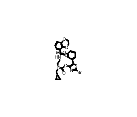 COc1cccc(-c2sc(Br)nc2OC(=O)N(CCNC(=O)c2cccc3c2OCCO3)CC2CC2)c1